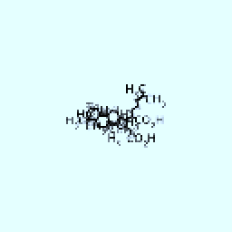 CC(C)=CCCC(C(=O)O)=C1C(CC(=O)O)C[C@@]2(C)[C@@H]1CC[C@@H]1[C@@]3(C)CCCC(C)(C)C3CC[C@]12C